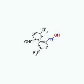 O=Cc1ccc(C(F)(F)F)cc1.ON=Cc1ccc(C(F)(F)F)cc1